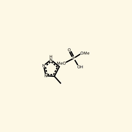 COP(=O)(O)OC.Cc1c[nH]nn1